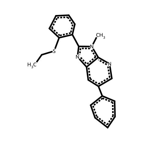 CCSc1ccccc1-c1nc2cc(-c3ccccc3)cnc2n1C